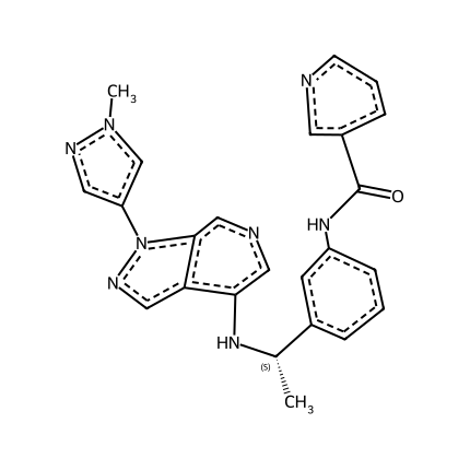 C[C@H](Nc1cncc2c1cnn2-c1cnn(C)c1)c1cccc(NC(=O)c2cccnc2)c1